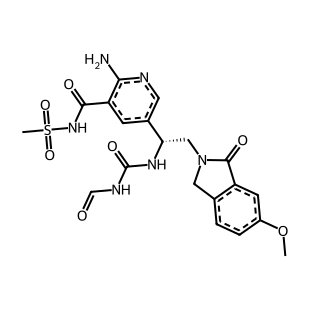 COc1ccc2c(c1)C(=O)N(C[C@H](NC(=O)NC=O)c1cnc(N)c(C(=O)NS(C)(=O)=O)c1)C2